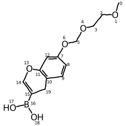 COCCOCOc1ccc2c(c1)OC=C(B(O)O)C2